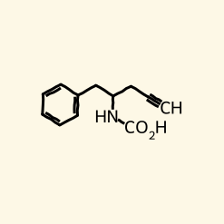 C#CCC(Cc1ccccc1)NC(=O)O